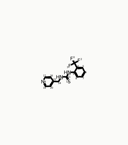 FC(F)(F)c1ccccc1NC(=S)NCc1ccncc1